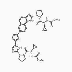 COC(=O)N[C@H](C(=O)N1CCC[C@H]1c1ncc(-c2ccc(-c3ccc4c(ccc5nc([C@@H]6CCCN6C(=O)[C@@H](NC(=O)OC)C6CC6)[nH]c54)c3)s2)[nH]1)C1CC1